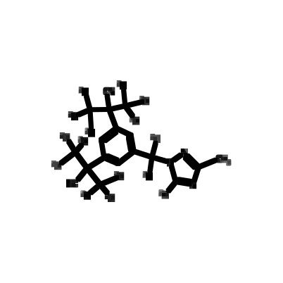 [2H]c1nc(C)nn1C([2H])([2H])c1cc(C(C#N)(C([2H])([2H])[2H])C([2H])([2H])[2H])cc(C(C#N)(C([2H])([2H])[2H])C([2H])([2H])[2H])c1